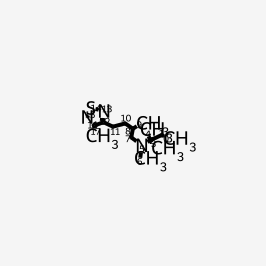 CCC(C)(C)N(C)CC(C)CCc1nsnc1C